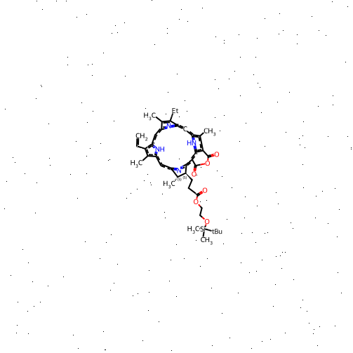 C=Cc1c(C)c2cc3nc(c4c5[nH]c(cc6nc(cc1[nH]2)C(C)=C6CC)c(C)c5C(=O)OC4=O)[C@@H](CCC(=O)OCCO[Si](C)(C)C(C)(C)C)[C@@H]3C